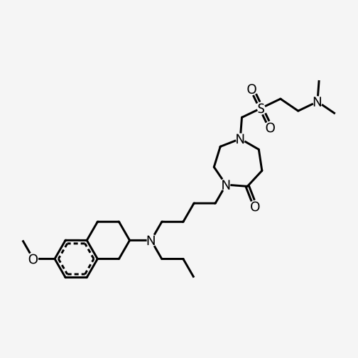 CCCN(CCCCN1CCN(CS(=O)(=O)CCN(C)C)CCC1=O)C1CCc2cc(OC)ccc2C1